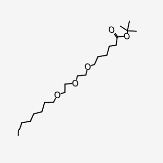 CC(C)(C)OC(=O)CCCCCOCCOCCOCCCCCCI